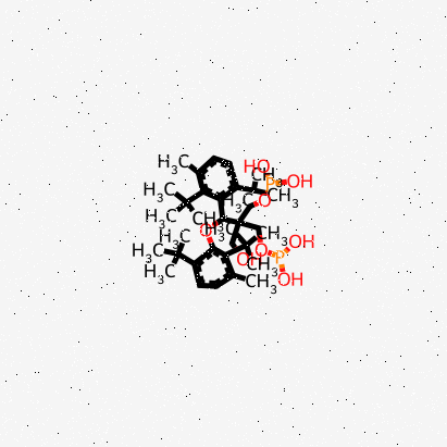 Cc1ccc(C(C)(C)C)c(OC(c2c(C(C)(C)C)ccc(C)c2C(C)(C)C)C(CO)(COP(O)O)COP(O)O)c1C(C)(C)C